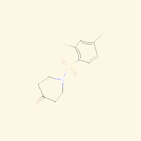 Bc1ccc(S(=O)(=O)N2CCC(=O)CC2)c(F)c1